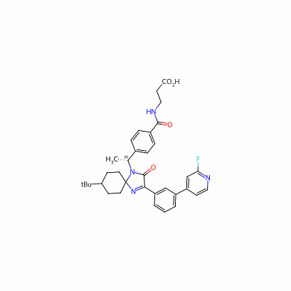 C[C@H](c1ccc(C(=O)NCCC(=O)O)cc1)N1C(=O)C(c2cccc(-c3ccnc(F)c3)c2)=NC12CCC(C(C)(C)C)CC2